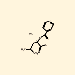 CC(C)C[C@@H](OC(=O)c1ccncc1)C(=O)Cl.Cl